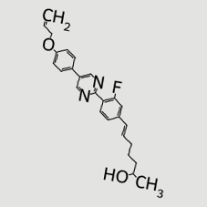 C=CCOc1ccc(-c2cnc(-c3ccc(/C=C/CCCC(C)O)cc3F)nc2)cc1